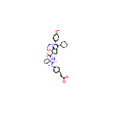 COc1ccc(-c2c(C3CCCCC3)c3ccc(C(=O)NC4(C(=O)Nc5ccc(/C=C/C(=O)O)cc5)CCCC4)c4c3n2CCO4)cc1